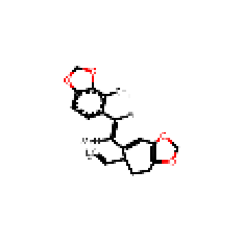 C=CC1CCC2=C(C=C1/C(NC)=C(\CC)c1ccc3c(c1C)OCO3)OCO2